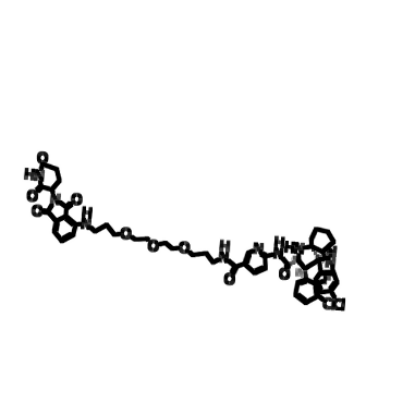 O=C1CCC(N2C(=O)c3cccc(NCCCOCCOCCOCCCNC(=O)c4ccc(NC(=O)[C@@H]5NC6(CCCCC6)[C@@]6(C(=O)Nc7cc(Cl)ccc76)[C@H]5c5cccc(Cl)c5F)nc4)c3C2=O)C(=O)N1